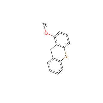 CCOc1cccc2c1Cc1ccccc1S2